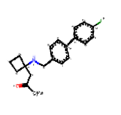 COC(=O)CC1(NCc2ccc(-c3ccc(F)cc3)cc2)CCC1